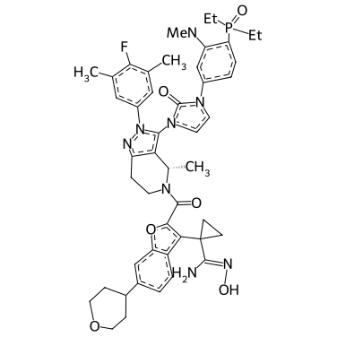 CCP(=O)(CC)c1ccc(-n2ccn(-c3c4c(nn3-c3cc(C)c(F)c(C)c3)CCN(C(=O)c3oc5cc(C6CCOCC6)ccc5c3C3(/C(N)=N/O)CC3)[C@H]4C)c2=O)cc1NC